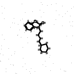 O=c1oc2ccccc2n1CCCCC1CCCCC1